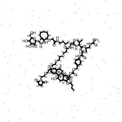 CCCC1O[C@@H]2C[C@H]3[C@@H]4C[C@H](F)C5=CC(=O)C=C[C@]5(C)[C@@]4(F)[C@@H](O)C[C@]3(C)[C@]2(C(=O)COC(=O)OCc2ccc(NC(=O)[C@H](CCCNC(N)=O)NC(=O)[C@@H](NC(=O)[C@@H](CCCCNC(=O)COC3CCCCCC4=C3NNN4[C@@H]3O[C@H](CO)[C@H](O)[C@H](O)[C@H]3O)NC(=O)CCOCCOCCOCCOCCN3C(=O)C=CC3=O)C(C)C)cc2)O1